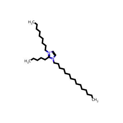 CCCCCCCCCCCCCCCn1cc[n+](CCCCCCCCC)c1CCCCC